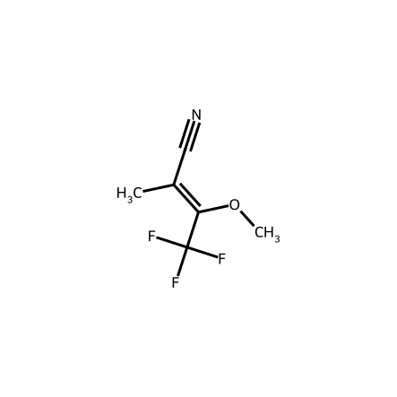 CO/C(=C(/C)C#N)C(F)(F)F